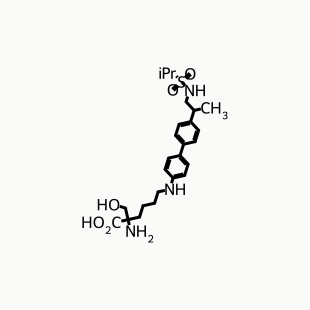 CC(CNS(=O)(=O)C(C)C)c1ccc(-c2ccc(NCCCCC(N)(CO)C(=O)O)cc2)cc1